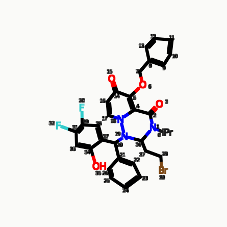 CC(C)N1C(=O)c2c(OCc3ccccc3)c(=O)ccn2N(C(c2ccccc2)c2cc(F)c(F)cc2O)C1CCBr